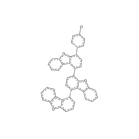 Clc1ccc(-c2ccc(-c3ccc(-c4cccc5oc6ccccc6c45)c4c3oc3ccccc34)c3c2oc2ccccc23)cc1